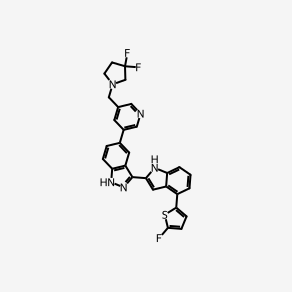 Fc1ccc(-c2cccc3[nH]c(-c4n[nH]c5ccc(-c6cncc(CN7CCC(F)(F)C7)c6)cc45)cc23)s1